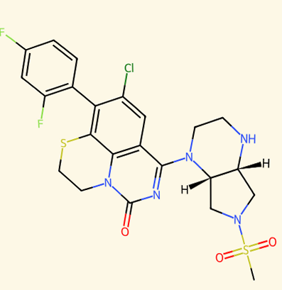 CS(=O)(=O)N1C[C@H]2NCCN(c3nc(=O)n4c5c(c(-c6ccc(F)cc6F)c(Cl)cc35)SCC4)[C@H]2C1